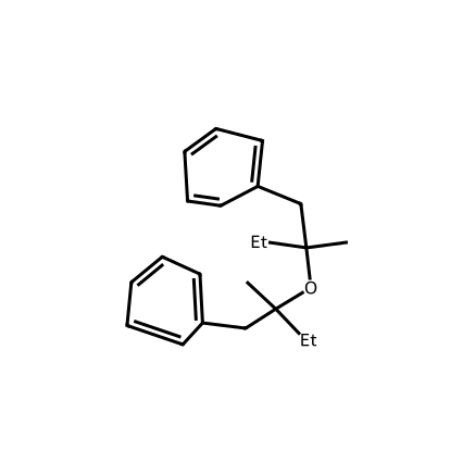 CCC(C)(Cc1ccccc1)OC(C)(CC)Cc1ccccc1